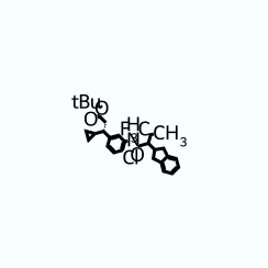 C[C@H](C(C(=O)Nc1cc([C@@H](CC(=O)OC(C)(C)C)C2CC2)ccc1Cl)C1Cc2ccccc2C1)C(F)(F)F